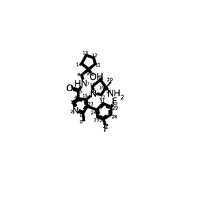 Cc1ncc(C(=O)NCC2(O)CCCC2)c(N2CC[C@](C)(N)C2)c1-c1cc(F)cc(F)c1